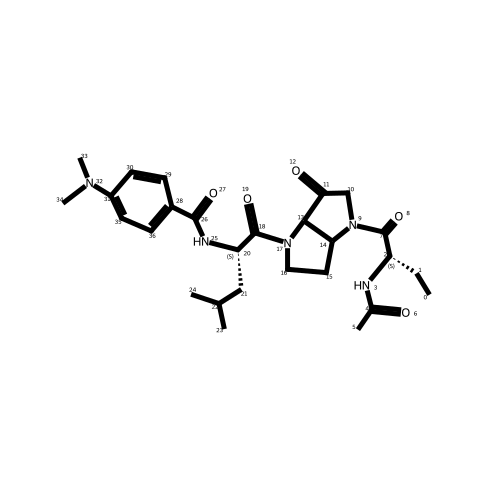 CC[C@H](NC(C)=O)C(=O)N1CC(=O)C2C1CCN2C(=O)[C@H](CC(C)C)NC(=O)c1ccc(N(C)C)cc1